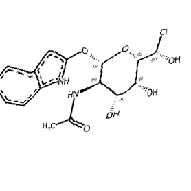 CC(=O)N[C@H]1[C@H](Oc2cc3ccccc3[nH]2)O[C@H]([C@@H](O)Cl)[C@H](O)[C@@H]1O